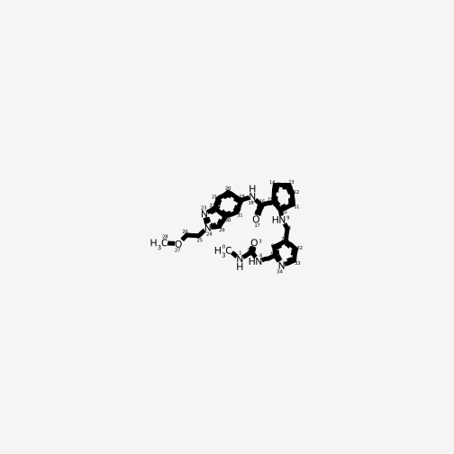 CNC(=O)Nc1cc(CNc2ccccc2C(=O)Nc2ccc3nn(CCOC)cc3c2)ccn1